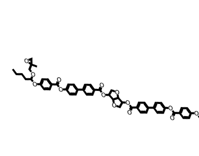 CCCCC(OCC1(C)CO1)Oc1ccc(C(=O)Oc2ccc(-c3ccc(C(=O)OC4COC5C(OC(=O)c6ccc(-c7ccc(OC(=O)c8ccc(OC)cc8)cc7)cc6)COC45)cc3)cc2)cc1